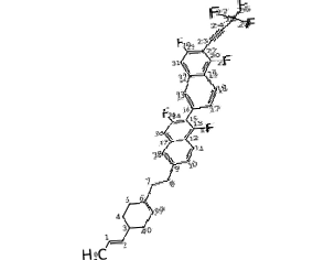 C/C=C/C1CCC(CCc2ccc3c(F)c(-c4ccc5c(F)c(C#CC(F)(F)F)c(F)cc5c4)c(F)cc3c2)CC1